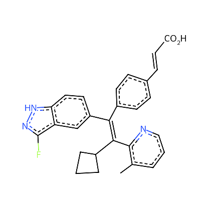 Cc1cccnc1C(=C(c1ccc(C=CC(=O)O)cc1)c1ccc2[nH]nc(F)c2c1)C1CCC1